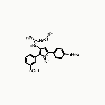 CCCCCCCCc1cccc(C2=C(CCCC)C=C(c3ccc(CCCCCC)cc3)[N+]2=[N-])c1.CCC[O][Ni][O]CCC